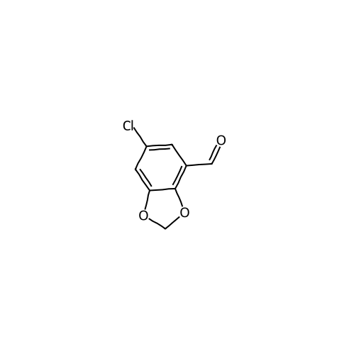 O=Cc1cc(Cl)cc2c1OCO2